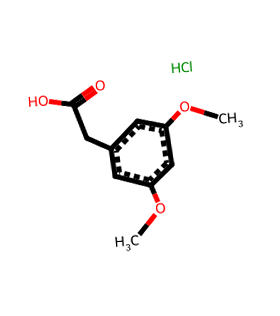 COc1cc(CC(=O)O)cc(OC)c1.Cl